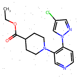 CCOC(=O)C1CCN(c2cnccc2-n2cc(Cl)cn2)CC1